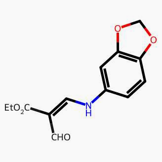 CCOC(=O)/C(C=O)=C/Nc1ccc2c(c1)OCO2